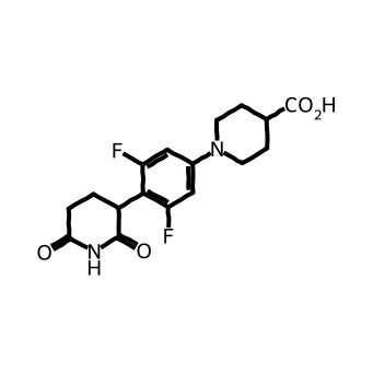 O=C1CCC(c2c(F)cc(N3CCC(C(=O)O)CC3)cc2F)C(=O)N1